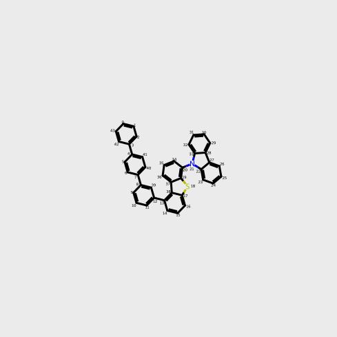 c1ccc(-c2ccc(-c3cccc(-c4cccc5sc6c(-n7c8ccccc8c8ccccc87)cccc6c45)c3)cc2)cc1